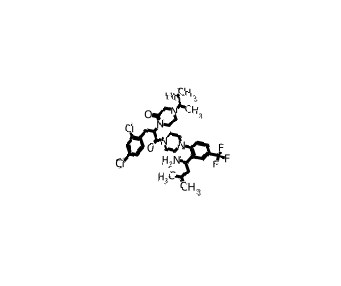 CNC(C)N1CCN(C(Cc2ccc(Cl)cc2Cl)C(=O)N2CCN(c3ccc(C(F)(F)F)cc3C(N)CC(C)C)CC2)C(=O)C1